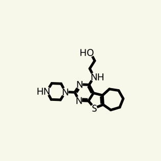 OCCNc1nc(N2CCNCC2)nc2sc3c(c12)CCCCC3